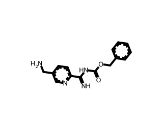 N=C(NC(=O)OCc1ccccc1)c1ccc(CN)cn1